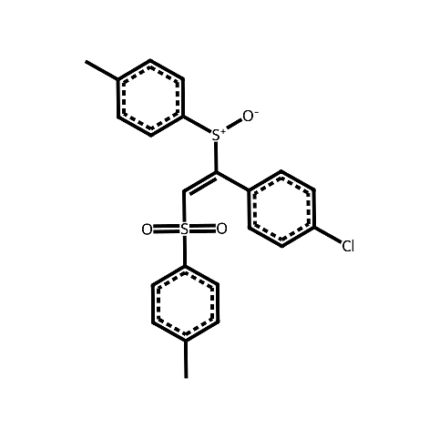 Cc1ccc([S+]([O-])C(=CS(=O)(=O)c2ccc(C)cc2)c2ccc(Cl)cc2)cc1